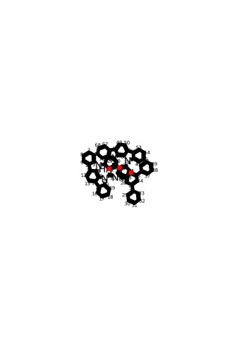 C1=CCC(n2c3ccccc3c3ccc4c5ccccc5n(C5=NC(c6cc(-c7ccccc7)cc(-c7ccccc7)c6)=NC(n6c7c(c8ccc9c%10ccccc%10n(-c%10ccccc%10)c9c86)C=CCC7)N5)c4c32)C=C1